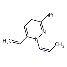 C=CC1=CCC(C(C)C)=NN1/C=C\C